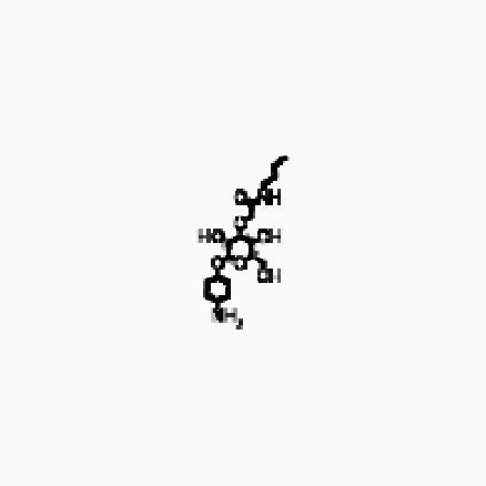 CCCCNC(=O)CO[C@H]1[C@@H](O)[C@@H](CO)O[C@@H](Oc2ccc(N)cc2)[C@@H]1O